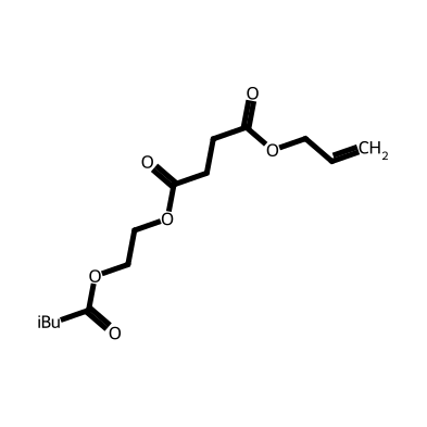 C=CCOC(=O)CCC(=O)OCCOC(=O)C(C)CC